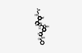 CN(C)CCNc1cc(F)cc(-c2ccnc3[nH]c(-c4n[nH]c5ccc(-c6cncc(NC(=O)C7CCCCC7)c6)cc45)nc23)c1